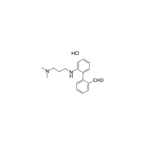 CN(C)CCCNc1ccccc1-c1ccccc1C=O.Cl